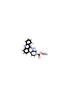 CC(C)(C)OC(=O)N1CCCC(Nc2c3ccccc3nc3ccccc23)C1